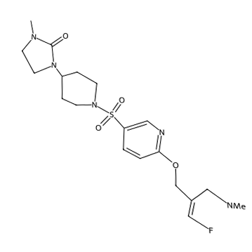 CNC/C(=C\F)COc1ccc(S(=O)(=O)N2CCC(N3CCN(C)C3=O)CC2)cn1